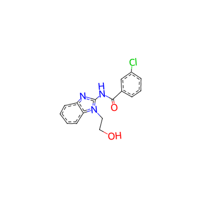 O=C(Nc1nc2ccccc2n1CCO)c1cccc(Cl)c1